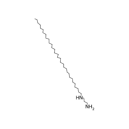 CCCCCCCCCCCCCCCCCCCCCCCCCCCCCCCCNCCCN